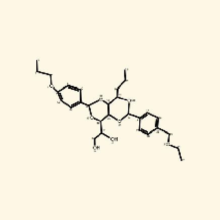 CCCOc1ccc(C2OC(C(O)CO)C3OC(c4ccc(COCC)cc4)OC(CCC)C3O2)cc1